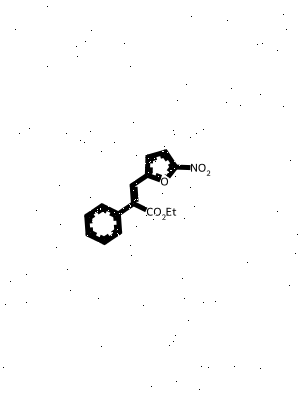 CCOC(=O)C(=Cc1ccc([N+](=O)[O-])o1)c1ccccc1